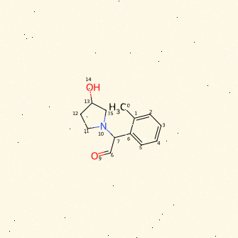 Cc1ccccc1C(C=O)N1CCC(O)C1